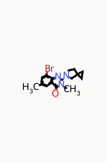 Cc1cc(Br)c2nc(N3CCC4(CC4)C3)n(C)c(=O)c2c1